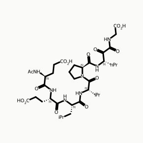 CCC[C@H](NC(=O)[C@@H]1CCCN1C(=O)[C@@H](NC(=O)[C@H](CC(C)C)NC(=O)[C@H](CCC(=O)O)NC(=O)[C@H](CCC(=O)O)NC(C)=O)C(C)C)C(=O)C(=O)NCC(=O)O